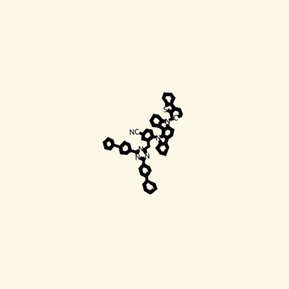 N#Cc1ccc(-n2c3ccccc3c3ccc4c(c5ccccc5n4-c4cccc5c4sc4ccccc45)c32)c(Cc2nc(-c3ccc(-c4ccccc4)cc3)nc(-c3ccc(-c4ccccc4)cc3)n2)c1